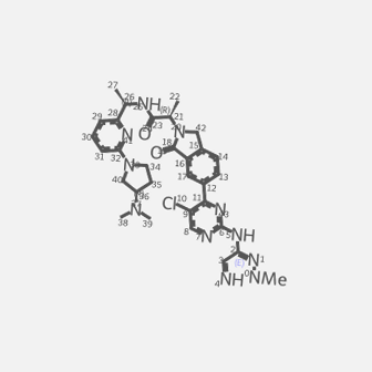 CN/N=C(\C=N)Nc1ncc(Cl)c(-c2ccc3c(c2)C(=O)N([C@H](C)C(=O)N[C@H](C)c2cccc(N4CC[C@@H](N(C)C)C4)n2)C3)n1